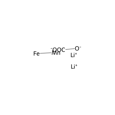 O=C([O-])[O-].[Li+].[Li+].[Mn][Fe]